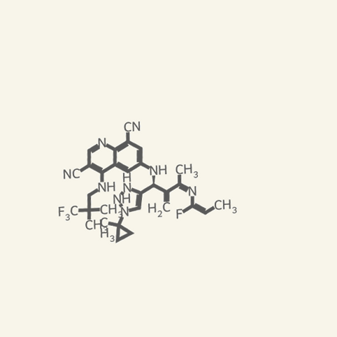 C=C(/C(C)=N\C(F)=C/C)[C@H](Nc1cc(C#N)c2ncc(C#N)c(NCC(C)(C)C(F)(F)F)c2c1)C1=CN(C2(C)CC2)NN1